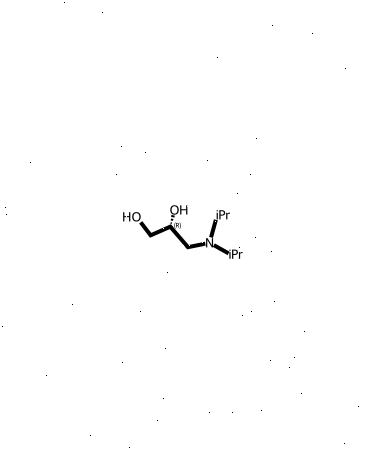 CC(C)N(C[C@@H](O)CO)C(C)C